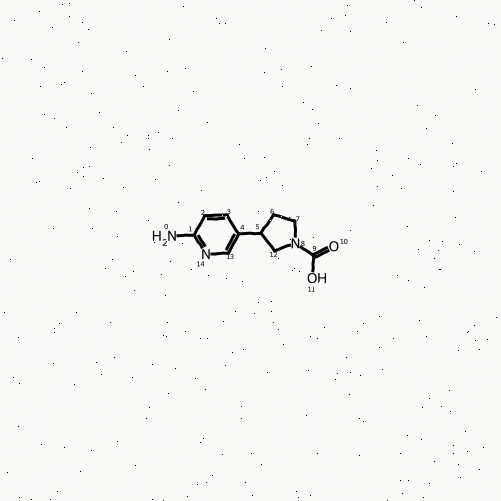 Nc1ccc(C2CCN(C(=O)O)C2)cn1